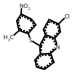 Cc1cc([N+](=O)[O-])ccc1Sc1c2ccccc2nc2cc(Cl)ccc12